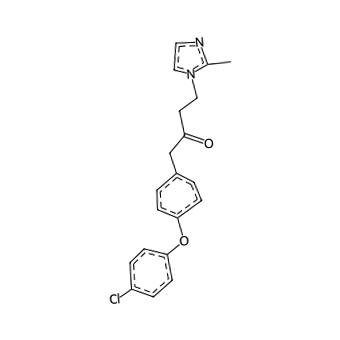 Cc1nccn1CCC(=O)Cc1ccc(Oc2ccc(Cl)cc2)cc1